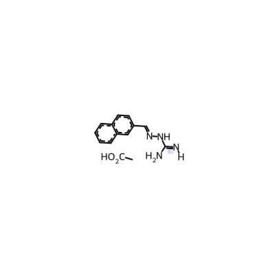 CC(=O)O.[H]/N=C(\N)NN=Cc1ccc2ccccc2c1